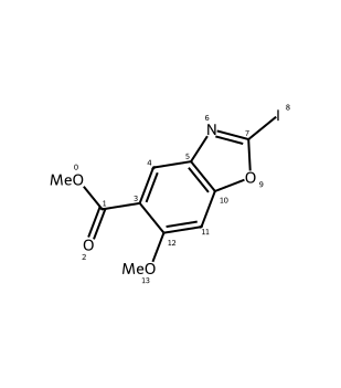 COC(=O)c1cc2nc(I)oc2cc1OC